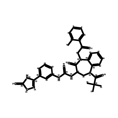 Cc1ccccc1C(=O)CN1C(=O)C(NC(=O)Nc2cccc(-c3noc(=O)[nH]3)c2)CN(C(=O)C(C)(C)C)c2ccccc21